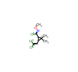 CON=C(Cl)C1C(C=C(Cl)Cl)C1(C)C